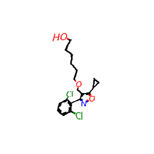 OCCCCCCOCc1c(-c2c(Cl)cccc2Cl)noc1C1CC1